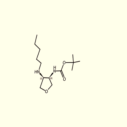 CCCCCN[C@@H]1COC[C@@H]1NC(=O)OC(C)(C)C